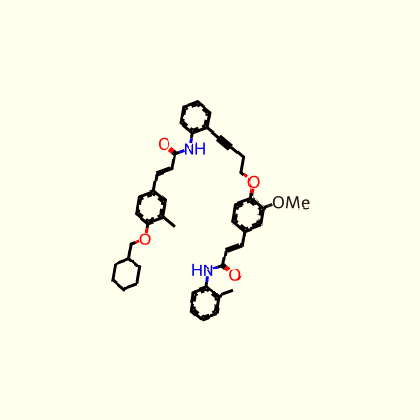 COc1cc(/C=C/C(=O)Nc2ccccc2C)ccc1OCCC#Cc1ccccc1NC(=O)/C=C/c1ccc(OCC2CCCCC2)c(C)c1